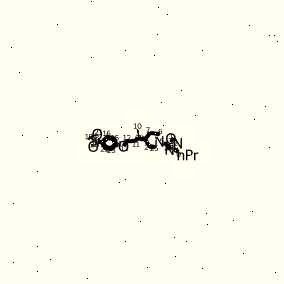 CCCc1noc(N2CCC([C@H](C)CCOc3ccc(S(C)(=O)=O)cc3)CC2)n1